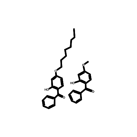 CCCCCCCCOc1ccc(C(=O)c2ccccc2)c(O)c1.COc1ccc(C(=O)c2ccccc2)c(O)c1